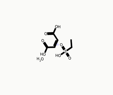 CCS(=O)(=O)O.O.O=C(O)/C=C\C(=O)O